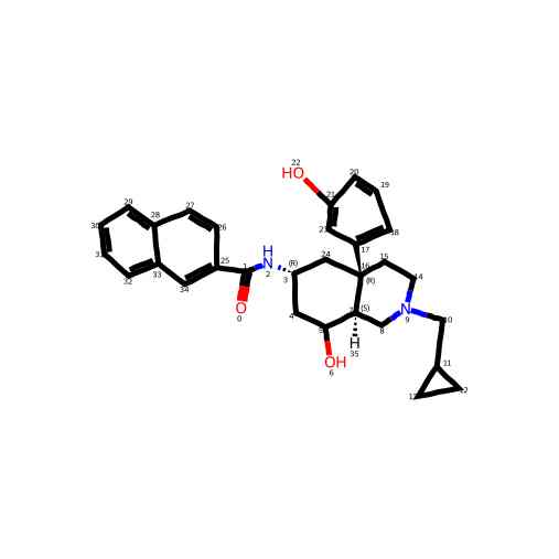 O=C(N[C@H]1CC(O)[C@@H]2CN(CC3CC3)CC[C@@]2(c2cccc(O)c2)C1)c1ccc2ccccc2c1